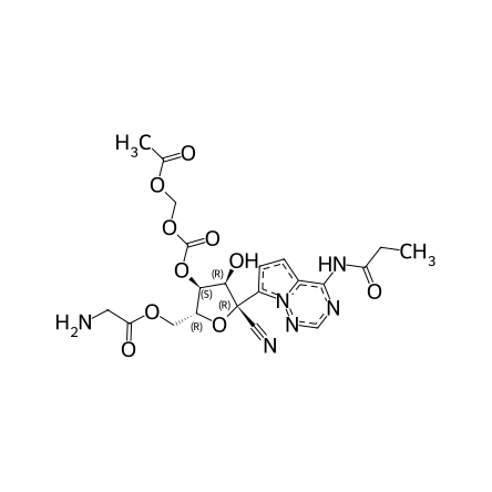 CCC(=O)Nc1ncnn2c([C@]3(C#N)O[C@H](COC(=O)CN)[C@@H](OC(=O)OCOC(C)=O)[C@H]3O)ccc12